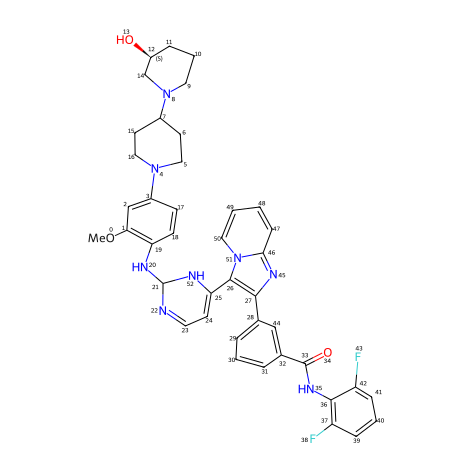 COc1cc(N2CCC(N3CCC[C@H](O)C3)CC2)ccc1NC1N=CC=C(c2c(-c3cccc(C(=O)Nc4c(F)cccc4F)c3)nc3ccccn23)N1